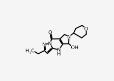 CCc1cc2[nH]c3c(c(=O)n2n1)CN(C1CCOCC1)C3O